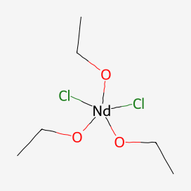 CC[O][Nd]([Cl])([Cl])([O]CC)[O]CC